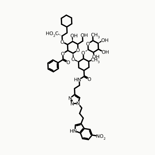 CC1CC(C(=O)NCCc2cn(CCCc3c[nH]c4ccc([N+](=O)[O-])cc34)nn2)C[C@@H](O[C@@H]2OC(CO)[C@H](O)C(O[C@@H](CC3CCCCC3)C(=O)O)C2OC(=O)c2ccccc2)C1O[C@@H]1OC(C)[C@@H](O)C(O)C1O